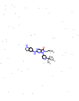 C=CCn1c(=O)c2cnc(Nc3ccc4c(c3)CCN4)nc2n1-c1ccnc(C(C)(C)C)c1